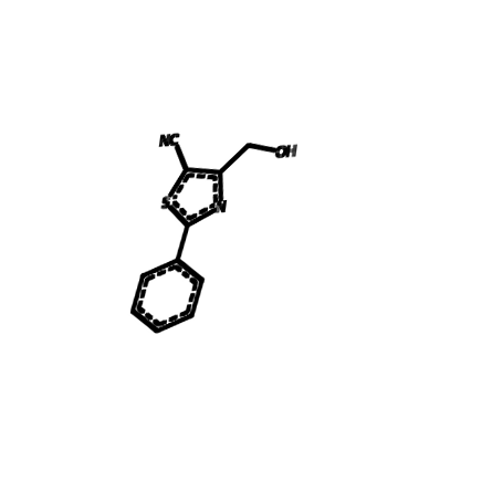 N#Cc1sc(-c2ccccc2)nc1CO